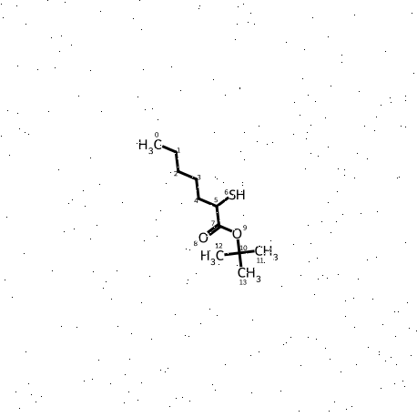 CCCCCC(S)C(=O)OC(C)(C)C